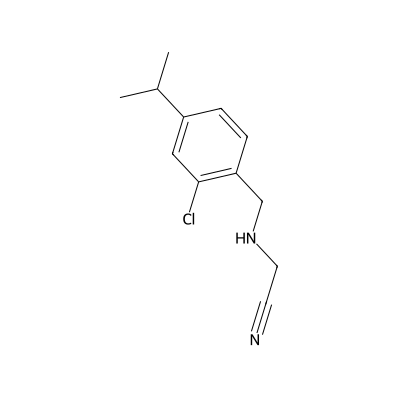 CC(C)c1ccc(CNCC#N)c(Cl)c1